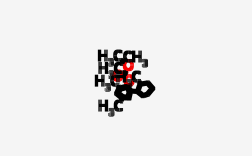 Cc1cc(C)c(OC(=O)OC(C)(C)C)c(C2CCCCC2C)c1